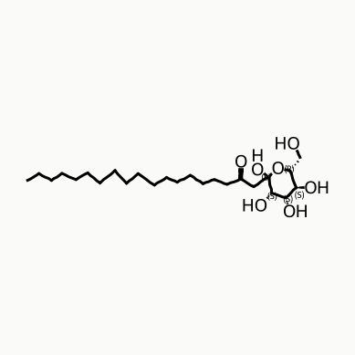 CCCCCCCCCCCCCCCCCC(=O)C[C@]1(O)O[C@H](CO)[C@@H](O)[C@H](O)[C@@H]1O